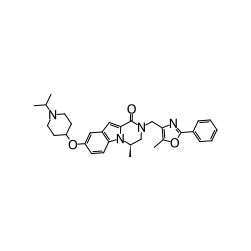 Cc1oc(-c2ccccc2)nc1CN1C[C@@H](C)n2c(cc3cc(OC4CCN(C(C)C)CC4)ccc32)C1=O